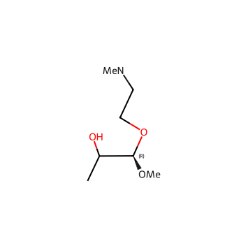 CNCCO[C@@H](OC)C(C)O